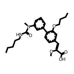 CCCCCNC(=O)N(C)c1cccc(-c2ccc(C=C(OC)C(=O)O)cc2OCCCC)c1